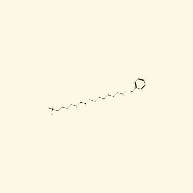 [2H]C([2H])([2H])CCCCCCCCCCCCCCCOCc1ccccc1